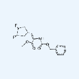 COC(=O)C(=C[C@@H]1C[C@@H](F)[C@@H](F)C1)NC(=O)OCc1ccccc1